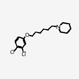 Clc1ccc(OCCCCCCN2CCCCC2)cc1Cl